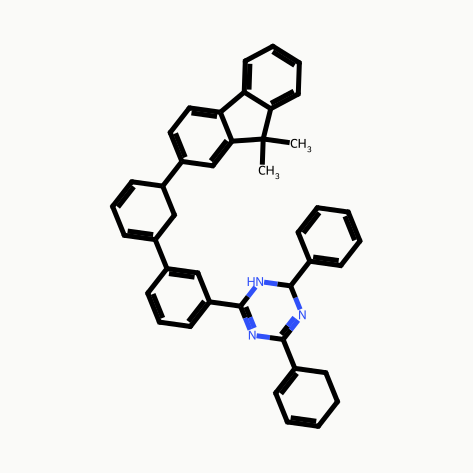 CC1(C)c2ccccc2-c2ccc(C3C=CC=C(c4cccc(C5=NC(C6=CC=CCC6)=NC(c6ccccc6)N5)c4)C3)cc21